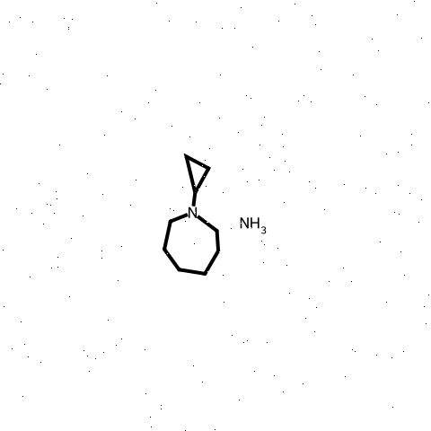 C1CCCN(C2CC2)CC1.N